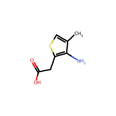 Cc1csc(CC(=O)O)c1N